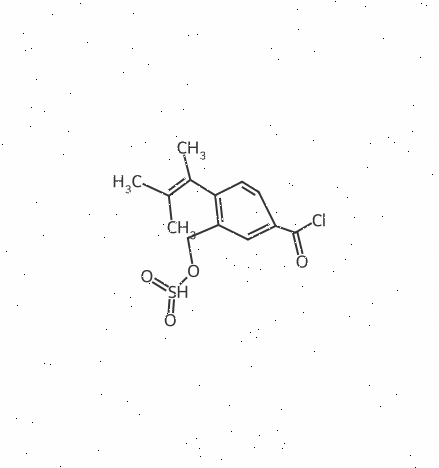 CC(C)=C(C)c1ccc(C(=O)Cl)cc1CO[SH](=O)=O